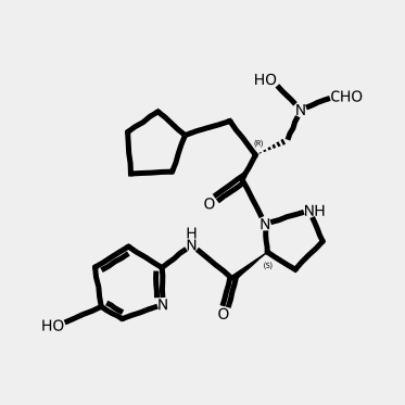 O=CN(O)C[C@@H](CC1CCCC1)C(=O)N1NCC[C@H]1C(=O)Nc1ccc(O)cn1